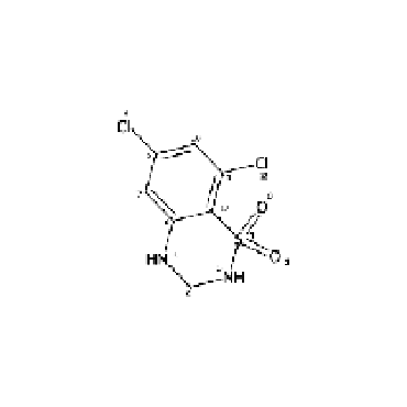 O=S1(=O)NCNc2cc(Cl)cc(Cl)c21